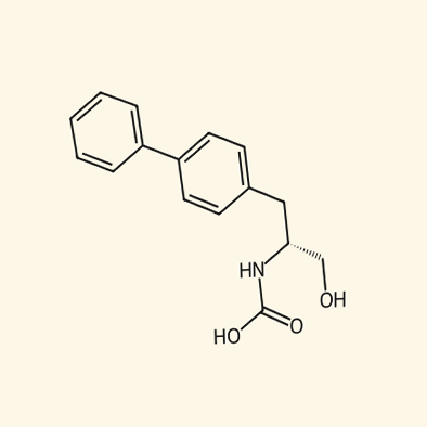 O=C(O)N[C@@H](CO)Cc1ccc(-c2ccccc2)cc1